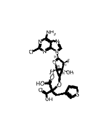 Nc1nc(Cl)nc2c1ncn2[C@@H]1O[C@@H]2C(OC(Cc3ccsc3)(C(=O)O)C(=O)O)[C@]2(O)[C@@H]1F